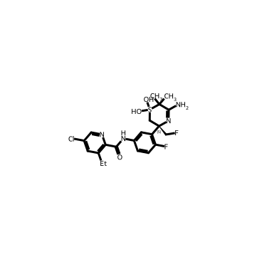 CCc1cc(Cl)cnc1C(=O)Nc1ccc(F)c([C@]2(CF)CS(O)(O)C(C)(C)C(N)=N2)c1